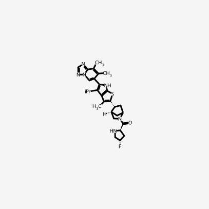 Cc1c(-c2[nH]c3sc([C@@H]4CC5C[C@H]4CN5C(=O)[C@H]4C[C@H](F)CN4)c(C)c3c2C(C)C)cn2ncnc2c1C